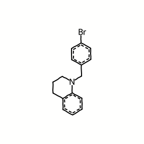 Brc1ccc(CN2CCCc3ccccc32)cc1